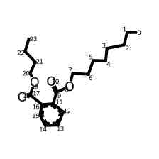 CCCCCCCCOC(=O)c1ccccc1C(=O)OCCCC